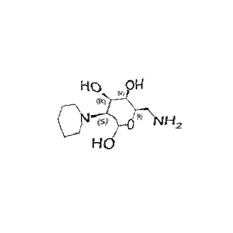 NC[C@H]1OC(O)[C@@H](N2CCCCC2)[C@@H](O)[C@H]1O